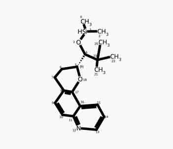 C[SiH](C)OC([C@H]1CCc2ccc3ncccc3c2O1)C(C)(C)C